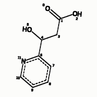 O=C(O)CC(O)c1ccccn1